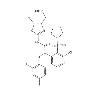 CCOC(=O)Cc1nc(NC(=O)C(Oc2ccc(F)cc2F)c2cccc(Cl)c2S(=O)(=O)C2CCCC2)sc1Cl